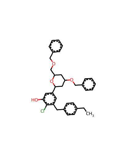 CCc1ccc(Cc2cc(C3CC(OCc4ccccc4)CC(COCc4ccccc4)O3)cc(O)c2Cl)cc1